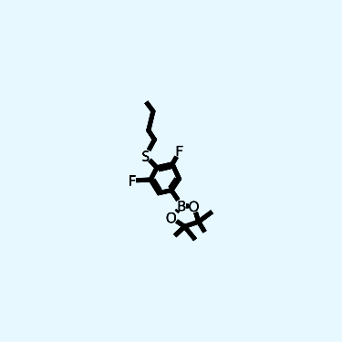 CCCCSc1c(F)cc(B2OC(C)(C)C(C)(C)O2)cc1F